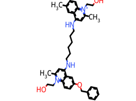 Cc1ccc2c(c1)c(NCCCCCCNc1cc(C)[n+](CCO)c3ccc(OCc4ccccc4)cc13)cc(C)[n+]2CCO